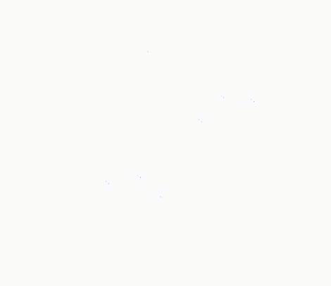 CC(C)(C)c1ccc(-c2nc3c(-c4ccc5c(c4)nc4c6ccccc6nc(-c6cccc(C(C)(C)C)c6)n54)cccc3c3nc4ccccc4n23)cc1